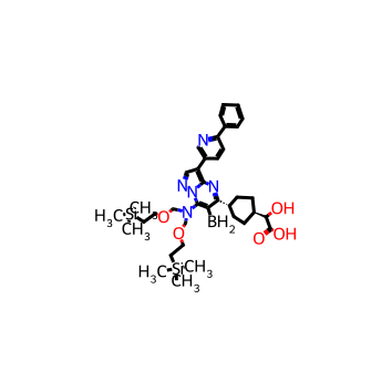 Bc1c(N(COCC[Si](C)(C)C)COCC[Si](C)(C)C)n2ncc(-c3ccc(-c4ccccc4)nc3)c2nc1[C@H]1CC[C@H](C(O)C(=O)O)CC1